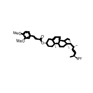 COc1ccc(/C=C/C(=O)O[C@H]2CC[C@@]3(C)C(=CC=C4C3CC[C@@]3(C)C4CC[C@@H]3[C@H](C)/C=C/[C@H](C)C(C)C)C2)cc1OC